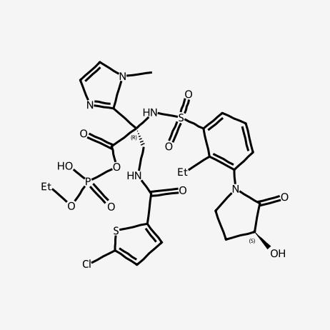 CCOP(=O)(O)OC(=O)[C@](CNC(=O)c1ccc(Cl)s1)(NS(=O)(=O)c1cccc(N2CC[C@H](O)C2=O)c1CC)c1nccn1C